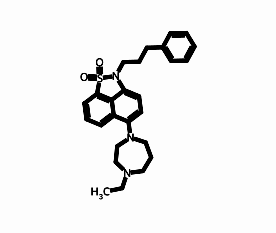 CCN1CCCN(c2ccc3c4c(cccc24)S(=O)(=O)N3CCCc2ccccc2)CC1